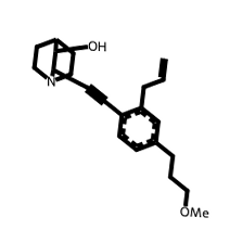 C=CCc1cc(CCCOC)ccc1C#CC1C(O)C2CCN1CC2